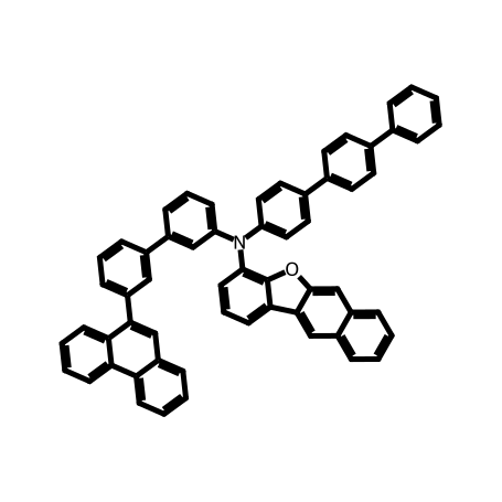 c1ccc(-c2ccc(-c3ccc(N(c4cccc(-c5cccc(-c6cc7ccccc7c7ccccc67)c5)c4)c4cccc5c4oc4cc6ccccc6cc45)cc3)cc2)cc1